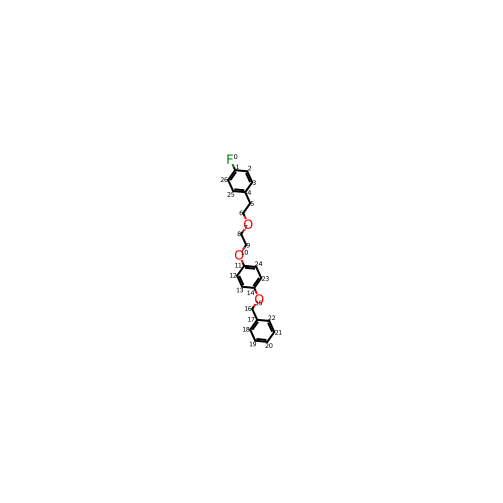 Fc1ccc(CCOCCOc2ccc(OCc3ccccc3)cc2)cc1